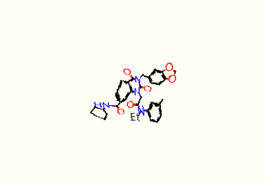 CCN(C(=O)Cn1c(=O)n(Cc2ccc3c(c2)OCO3)c(=O)c2ccc(C(=O)NC3CCCCC3)cc21)c1cccc(C)c1